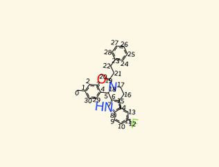 Cc1ccc(C2c3[nH]c4ccc(F)cc4c3CCN2C(=O)CCc2ccccc2)cc1